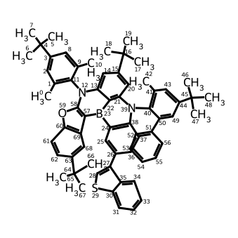 Cc1cc(C(C)(C)C)cc(C)c1N1c2cc(C(C)(C)C)cc3c2B(c2cc(-c4csc5ccccc45)ccc2N3c2c(C)cc(C(C)(C)C)cc2-c2ccccc2)c2c1oc1ccc(C(C)(C)C)cc21